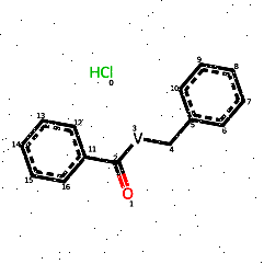 Cl.O=[C]([V][CH2]c1ccccc1)c1ccccc1